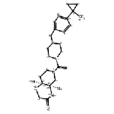 C=C(N1CCC(Cc2ccc(C3(C(F)(F)F)CC3)nc2)CC1)N1CC[C@@H]2OCC(=O)N[C@@H]2C1